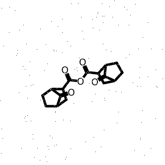 O=C(OC(=O)C1CC2CCC1C2=O)C1CC2CCC1C2=O